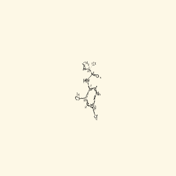 C=N[C@H](CC)C(=O)Nc1cnc(Cl)cc1Cl